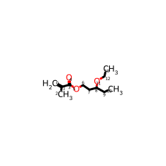 C=C(C)C(=O)OCCC(CC)OCC